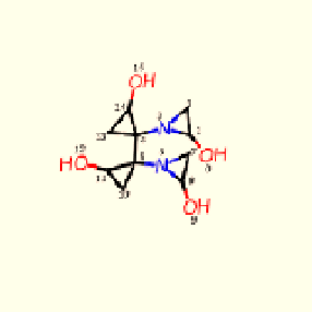 OC1CN1C1(C2(N3CC3O)CC2O)CC1O